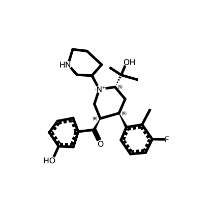 Cc1c(F)cccc1[C@@H]1C[C@@H](C(C)(C)O)[N+](C2CCCNC2)C[C@@H]1C(=O)c1cccc(O)c1